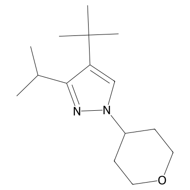 CC(C)c1nn(C2CCOCC2)cc1C(C)(C)C